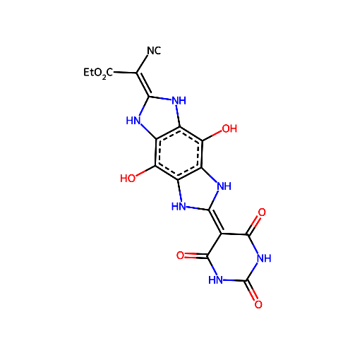 [C-]#[N+]C(C(=O)OCC)=C1Nc2c(O)c3c(c(O)c2N1)NC(=C1C(=O)NC(=O)NC1=O)N3